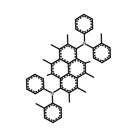 Cc1ccccc1N(c1ccccc1)c1c(C)c(C)c2c(C)c(C)c3c(N(c4ccccc4)c4ccccc4C)c(C)c(C)c4c(C)c(C)c1c2c43